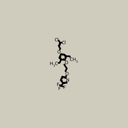 CCc1cc(OCC=C(Cl)Cl)cc(CC)c1OCCCOc1ccc(C(F)(F)F)cn1